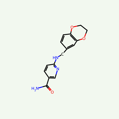 NC(=O)c1ccc(NCc2ccc3c(c2)OCCO3)nc1